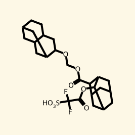 O=C(OCOC1CC2CCC3CC2CC1C3)C1C2CC3CC(C2)C(OC(=O)C(F)(F)S(=O)(=O)O)C1C3